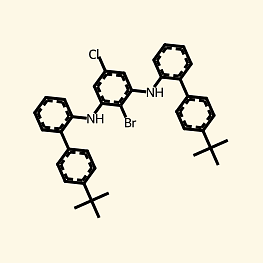 CC(C)(C)c1ccc(-c2ccccc2Nc2cc(Cl)cc(Nc3ccccc3-c3ccc(C(C)(C)C)cc3)c2Br)cc1